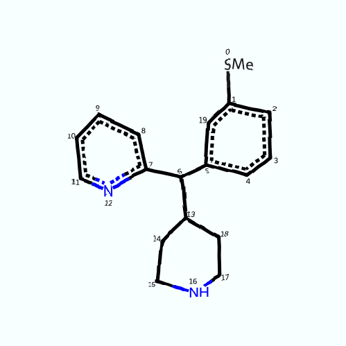 CSc1cccc(C(c2ccccn2)C2CCNCC2)c1